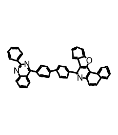 c1ccc(-c2nc(-c3ccc(-c4ccc(-c5nc6ccc7ccccc7c6c6oc7ccccc7c56)cc4)cc3)c3ccccc3n2)cc1